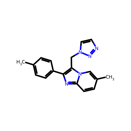 Cc1ccc(-c2nc3ccc(C)cn3c2Cn2ccnn2)cc1